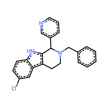 Clc1ccc2[nH]c3c(c2c1)CCN(Cc1ccccc1)C3c1cccnc1